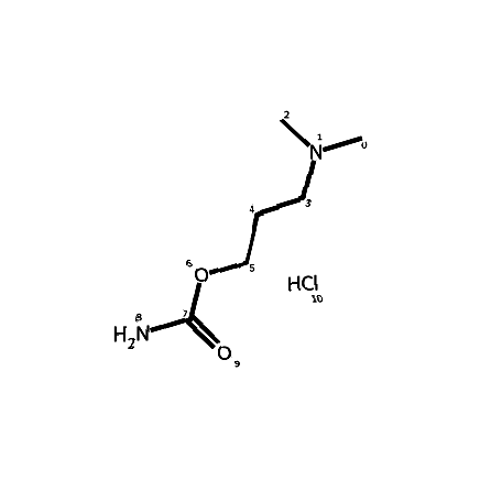 CN(C)CCCOC(N)=O.Cl